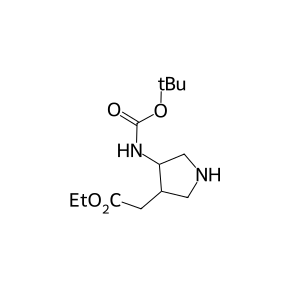 CCOC(=O)CC1CNCC1NC(=O)OC(C)(C)C